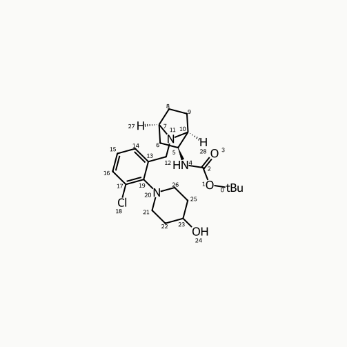 CC(C)(C)OC(=O)N[C@H]1C[C@H]2CC[C@@H]1N2Cc1cccc(Cl)c1N1CCC(O)CC1